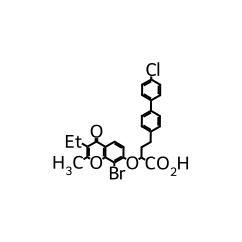 CCc1c(C)oc2c(Br)c(OC(CCc3ccc(-c4ccc(Cl)cc4)cc3)C(=O)O)ccc2c1=O